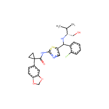 CC(C)[C@H](CO)NC(c1cnc(NC(=O)C2(c3ccc4c(c3)OCO4)CC2)s1)c1ccccc1F